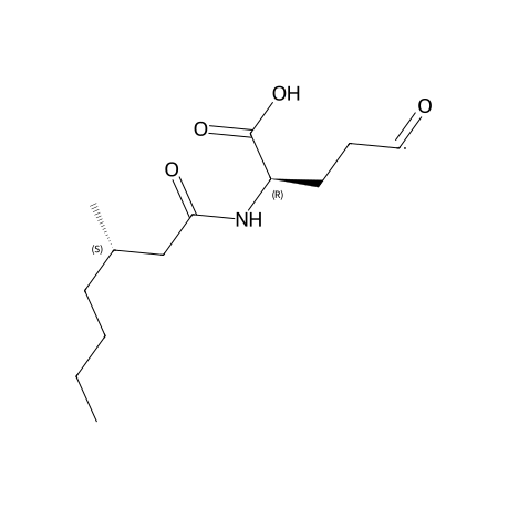 CCCC[C@H](C)CC(=O)N[C@H](CC[C]=O)C(=O)O